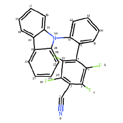 N#Cc1c(F)c(F)c(-c2ccccc2-n2c3ccccc3c3ccccc32)c(F)c1F